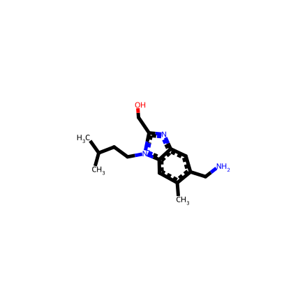 Cc1cc2c(cc1CN)nc(CO)n2CCC(C)C